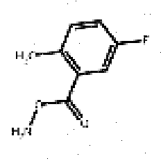 Cc1ccc(F)cc1C(=O)ON